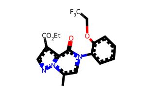 CCOC(=O)c1cnn2c(C)cn(-c3ccccc3OCC(F)(F)F)c(=O)c12